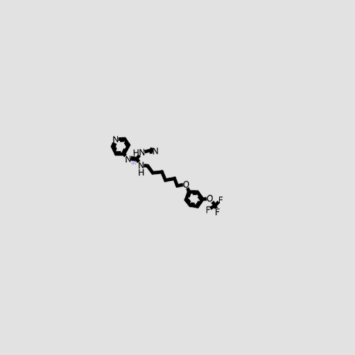 N#CN/C(=N\c1ccncc1)NCCCCCCOc1cccc(OC(F)(F)F)c1